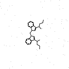 CCCC(C)C1=CC(CC2C=C(C(C)CCC)c3ccccc32)c2ccccc21